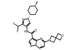 C[C@H]1CC[C@H](n2cc(NC(=O)c3cnn4ccc(N5CC6(COC6)C5)nc34)c(C(F)F)n2)CC1